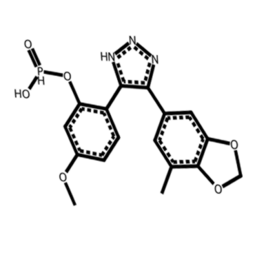 COc1ccc(-c2[nH]nnc2-c2cc(C)c3c(c2)OCO3)c(O[PH](=O)O)c1